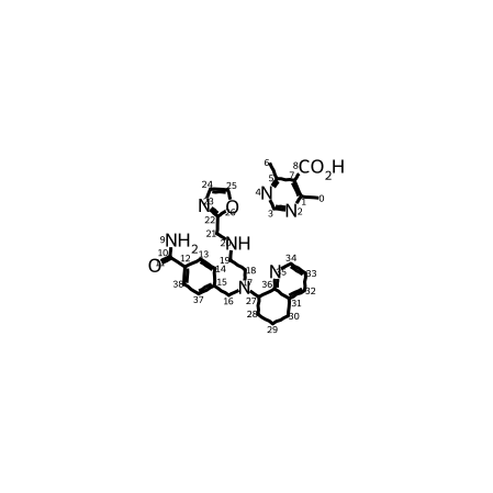 Cc1ncnc(C)c1C(=O)O.NC(=O)c1ccc(CN(CCNCc2ncco2)C2CCCc3cccnc32)cc1